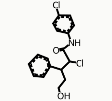 O=C(Nc1ccc(Cl)cc1)C(Cl)C(CCO)c1ccccc1